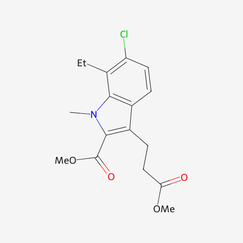 CCc1c(Cl)ccc2c(CCC(=O)OC)c(C(=O)OC)n(C)c12